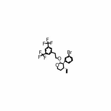 C=C[C@@H]1CCO[C@H](OCCc2cc(C(F)(F)F)cc(C(F)(F)F)c2)[C@H]1c1cccc(Br)c1